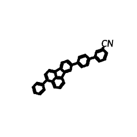 N#Cc1cccc(-c2ccc(-c3ccc4c(c3)-c3cccc5c(-c6ccccc6)ccc-4c35)cc2)c1